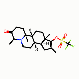 CC1=C(OS(=O)(=O)C(F)(F)F)[C@@]2(C)CC[C@@H]3[C@@H](CCN4C(C)C(=O)CC[C@]34C)[C@@H]2C1